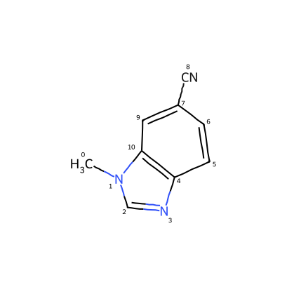 Cn1cnc2ccc(C#N)cc21